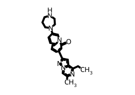 CCc1nc(C)cn2nc(C3=C\C(=O)N4C=C(N5CCCNCC5)C=C\C4=C/C=C/3)cc12